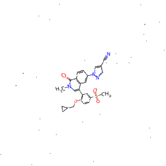 Cn1cc(-c2cc(S(C)(=O)=O)ccc2OCC2CC2)c2cc(-n3cc(C#N)cn3)ccc2c1=O